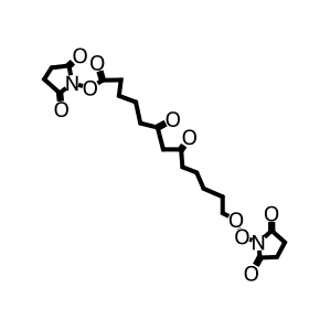 O=C(CCCCCOON1C(=O)CCC1=O)CC(=O)CCCCC(=O)ON1C(=O)CCC1=O